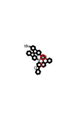 CC(C)(C)c1ccc2c(c1)C1(c3ccccc3-c3ccc(N(c4ccc5c(c4)oc4ccccc45)c4ccccc4-c4ccccc4-c4ccccc4-c4ccccc4)cc31)c1cc(C(C)(C)C)ccc1-2